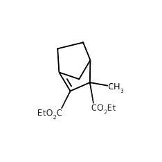 CCOC(=O)C1=C2CCC(C2)C1(C)C(=O)OCC